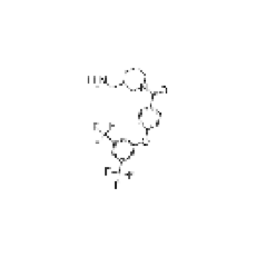 NCC1CCCN(C(=O)c2ccc(Oc3cc(C(F)(F)F)cc(C(F)(F)F)c3)cc2)C1